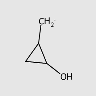 [CH2]C1CC1O